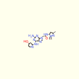 CCn1nc(C)cc1NC(=O)Cn1cnc2c(Nc3cc(O)ccn3)nc(N)nc21